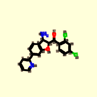 NC1c2ccc(-c3ccccn3)cc2OC1C(=O)c1ccc(Cl)cc1Cl